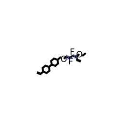 C=C/C(OCC)=C(F)\C(F)=C\OCC1CCC(C2CCC(C=C)CC2)CC1